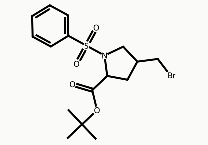 CC(C)(C)OC(=O)C1CC(CBr)CN1S(=O)(=O)c1ccccc1